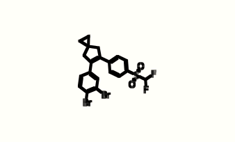 O=S(=O)(c1ccc(C2=C(c3ccc(Br)c(Br)c3)CC3(CC3)C2)cc1)C(F)F